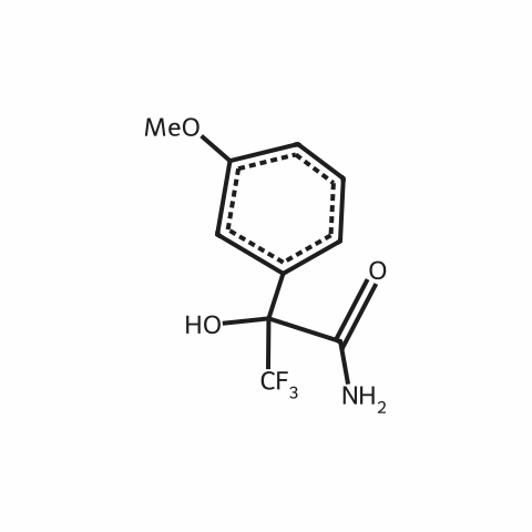 COc1cccc(C(O)(C(N)=O)C(F)(F)F)c1